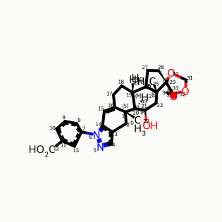 C[C@@]12Cc3cnn(-c4cccc(C(=O)O)c4)c3C=C1CC[C@H]1[C@H]2[C@H](O)C[C@]2(C)[C@@H]1CC[C@]21OCOC12COCO2